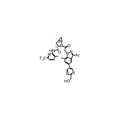 CC(=O)c1nn(CC(=O)N2C3C[C@]3(C)C[C@H]2C(=O)Nc2nc(C(F)(F)F)ccc2C)c2c(C)cc(-c3cnc(CO)nc3)cc12